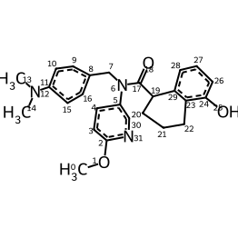 COc1ccc(N(Cc2ccc(N(C)C)cc2)C(=O)C2CCCc3c(O)cccc32)cn1